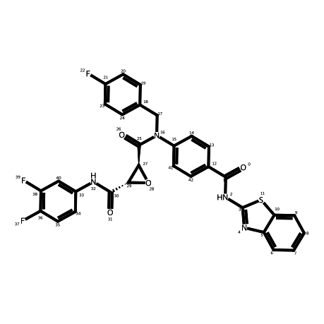 O=C(Nc1nc2ccccc2s1)c1ccc(N(Cc2ccc(F)cc2)C(=O)[C@H]2O[C@@H]2C(=O)Nc2ccc(F)c(F)c2)cc1